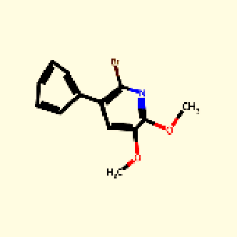 COc1cc(-c2ccccc2)c(Br)nc1OC